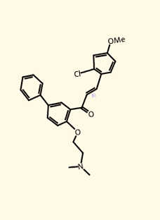 COc1ccc(/C=C/C(=O)c2cc(-c3ccccc3)ccc2OCCN(C)C)c(Cl)c1